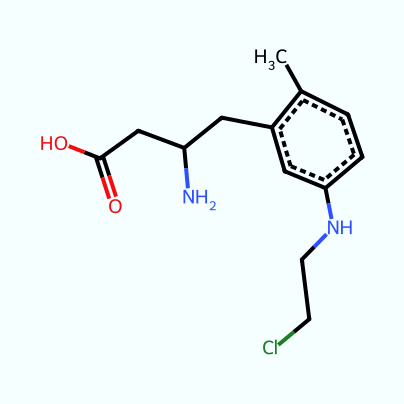 Cc1ccc(NCCCl)cc1CC(N)CC(=O)O